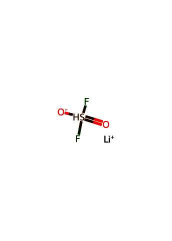 O=[SH]([O-])(F)F.[Li+]